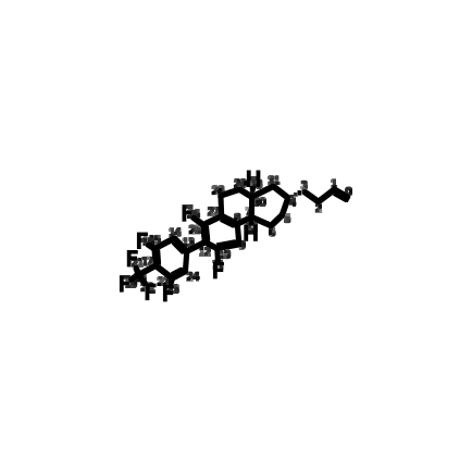 C=CCC[C@@H]1CC[C@@H]2c3cc(F)c(-c4cc(F)c(C(F)(F)F)c(F)c4)c(F)c3CC[C@@H]2C1